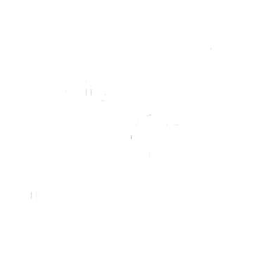 CCC1=Cc2c(ccc(CC)c2-c2ccccc2)[CH]1[Zr]([Cl])([Cl])([CH]1C(CC)=Cc2c1ccc(CC)c2-c1ccccc1)[SiH](C)C